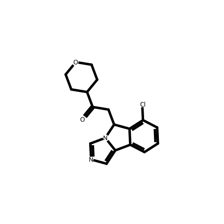 O=C(CC1c2c(Cl)cccc2-c2cncn21)C1CCOCC1